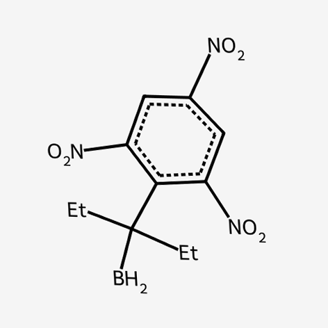 BC(CC)(CC)c1c([N+](=O)[O-])cc([N+](=O)[O-])cc1[N+](=O)[O-]